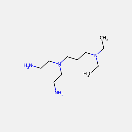 CCN(CC)CCCN(CCN)CCN